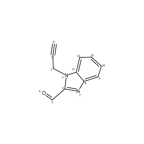 C#CCn1c(C=O)nc2ccccc21